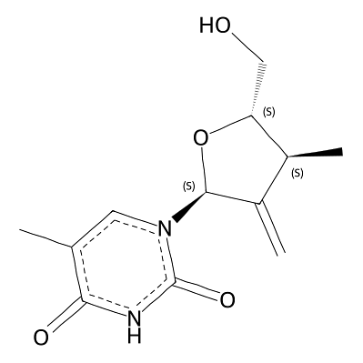 C=C1[C@H](C)[C@@H](CO)O[C@@H]1n1cc(C)c(=O)[nH]c1=O